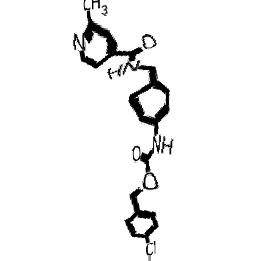 Cc1cc(C(=O)NCc2ccc(NC(=O)OCc3ccc(Cl)cc3)cc2)ccn1